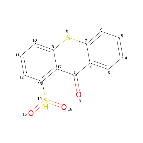 O=c1c2ccccc2sc2cccc([SH](=O)=O)c12